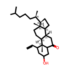 C=CC1CC(O)CC2C(=O)C[C@@H]3[C@H](CC[C@]4(C)[C@@H]([C@H](C)CCCC(C)C)CC[C@@H]34)[C@@]12C